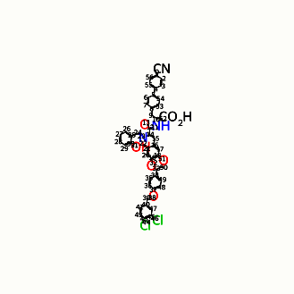 N#Cc1ccc(-c2ccc(CC(NC(=O)C3Cc4cc5c(cc4CN3Cc3ccccc3O)OC(c3ccc(OCc4ccc(Cl)c(Cl)c4)cc3)CO5)C(=O)O)cc2)cc1